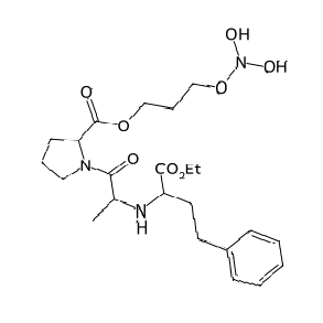 CCOC(=O)C(CCc1ccccc1)NC(C)C(=O)N1CCCC1C(=O)OCCCON(O)O